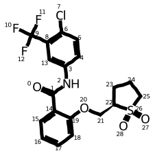 O=C(Nc1ccc(Cl)c(C(F)(F)F)c1)c1ccccc1OC[C@H]1CCCS1(=O)=O